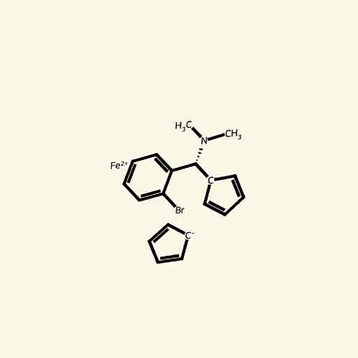 CN(C)[C@@H](c1ccccc1Br)[c-]1cccc1.[Fe+2].c1cc[cH-]c1